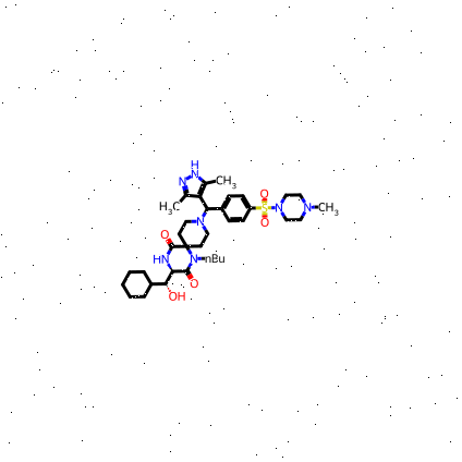 CCCCN1C(=O)[C@@H]([C@H](O)C2CCCCC2)NC(=O)C12CCN(C(c1ccc(S(=O)(=O)N3CCN(C)CC3)cc1)c1c(C)n[nH]c1C)CC2